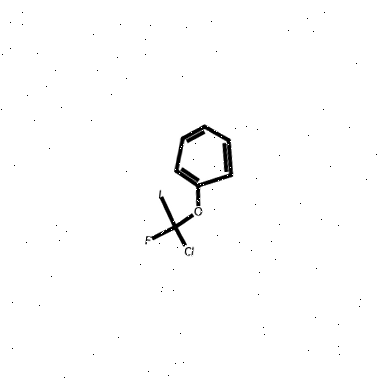 FC(Cl)(I)Oc1ccccc1